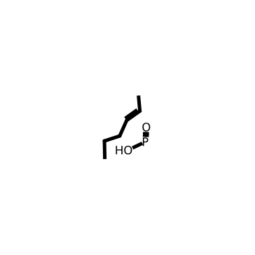 CC=CCCC.O=PO